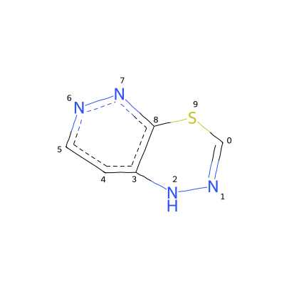 C1=NNc2ccnnc2S1